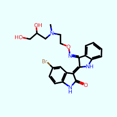 CN(CCO/N=C1/C(=C2/C(=O)Nc3ccc(Br)cc32)Nc2ccccc21)CC(O)CO